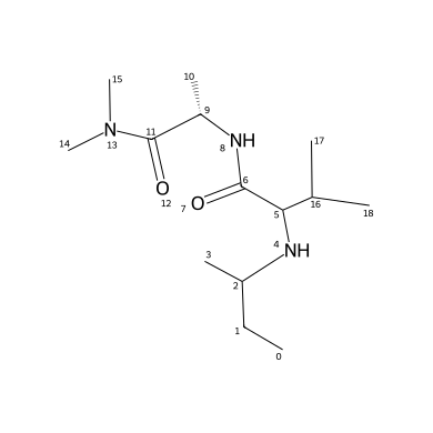 CCC(C)NC(C(=O)N[C@@H](C)C(=O)N(C)C)C(C)C